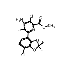 COC(=O)c1nc(-c2ccc(Cl)c3c2OC(F)(F)O3)c(F)c(N)c1Cl